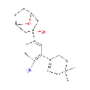 CC1(C)CC=C(c2cc(C3(O)CC4CCC(C3)O4)ccc2N)CC1